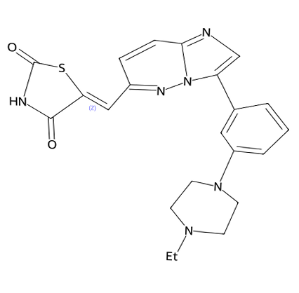 CCN1CCN(c2cccc(-c3cnc4ccc(/C=C5\SC(=O)NC5=O)nn34)c2)CC1